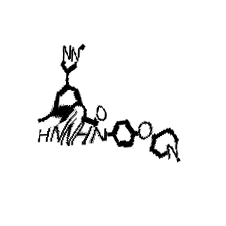 Cc1cc(-c2cnn(C)c2)cc2c(C(=O)Nc3ccc(OC4CCN(C)CC4)cc3)n[nH]c12